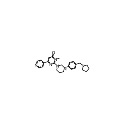 Cn1c(N2CCC[C@H](c3ccc(CN4CCCC4)cc3)C2)nc(-c2ccncc2)cc1=O